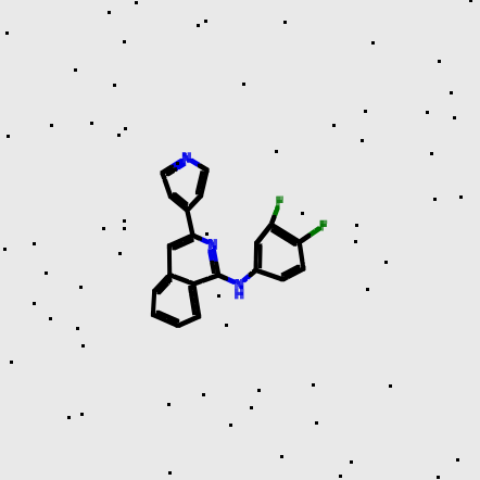 Fc1ccc(Nc2nc(-c3ccncc3)cc3ccccc23)cc1F